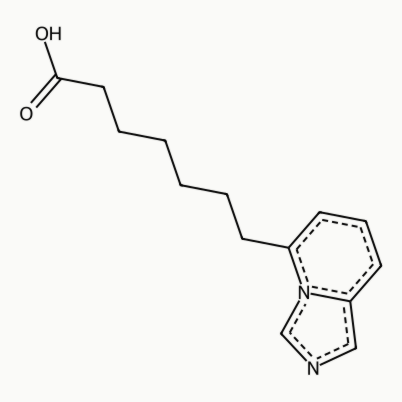 O=C(O)CCCCCCc1cccc2cncn12